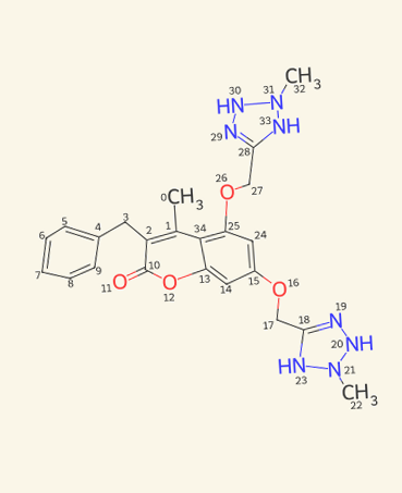 Cc1c(Cc2ccccc2)c(=O)oc2cc(OCC3=NNN(C)N3)cc(OCC3=NNN(C)N3)c12